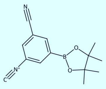 [C-]#[N+]c1cc(C#N)cc(B2OC(C)(C)C(C)(C)O2)c1